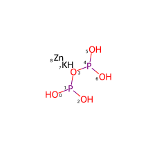 OP(O)OP(O)O.[KH].[Zn]